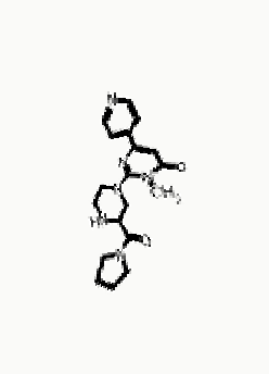 Cn1c(N2CCNC(C(=O)N3CCCC3)C2)nc(-c2ccncc2)cc1=O